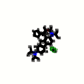 C[C](C)=[Zr+2]([C]1=CC=CC1)[c]1c(N(C(C)C)C(C)C)ccc2c1Cc1cc(N(C(C)C)C(C)C)ccc1-2.[Cl-].[Cl-]